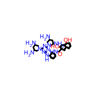 N[C@@H]1C[C@H](N)CN(c2nc(Nc3cccc(NC(=O)c4cc5cccc(O)c5cc4O)c3)nc(N3C[C@H](N)C[C@H](N)C3)n2)C1